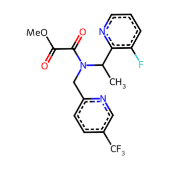 COC(=O)C(=O)N(Cc1ccc(C(F)(F)F)cn1)C(C)c1ncccc1F